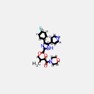 CC1COC(c2nc(-c3ccc(F)cc3)c(-c3ccncc3)[nH]2)OC1C(=O)N1CCOCC1